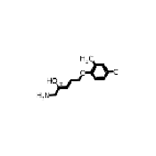 Cc1cc(Cl)ccc1OCCC[C@H](O)CN